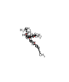 CCCCCCCOc1ccc(-c2cnc(-c3ccc(C[C@H](NC(=O)c4ccc(C(C)(C)C)cc4)C(=O)N[C@@H](CC(=O)NCCN(C)C)C(=O)O)cc3)nc2)cc1